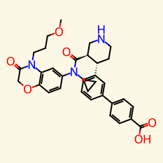 COCCCN1C(=O)COc2ccc(N(C(=O)[C@H]3CNCC[C@@H]3c3cccc(-c4ccc(C(=O)O)cc4)c3)C3CC3)cc21